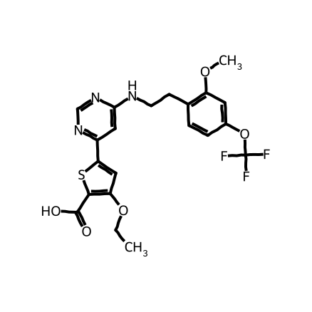 CCOc1cc(-c2cc(NCCc3ccc(OC(F)(F)F)cc3OC)ncn2)sc1C(=O)O